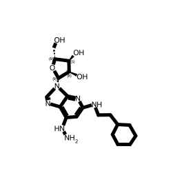 NNc1cc(NCCC2CCCCC2)nc2c1ncn2[C@@H]1O[C@H](CO)[C@@H](O)[C@H]1O